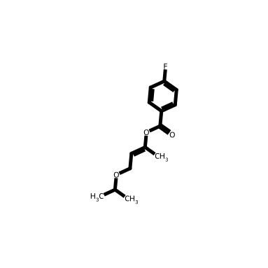 C/C(=C\COC(C)C)OC(=O)c1ccc(F)cc1